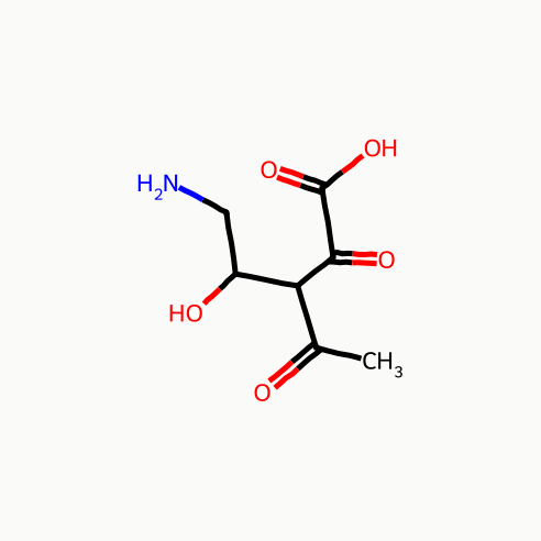 CC(=O)C(C(=O)C(=O)O)C(O)CN